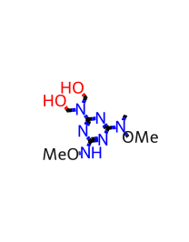 CONc1nc(N(CO)CO)nc(N(C)OC)n1